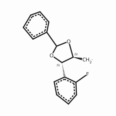 [CH2][C@@H]1OC(c2ccccc2)O[C@H]1c1ccccc1F